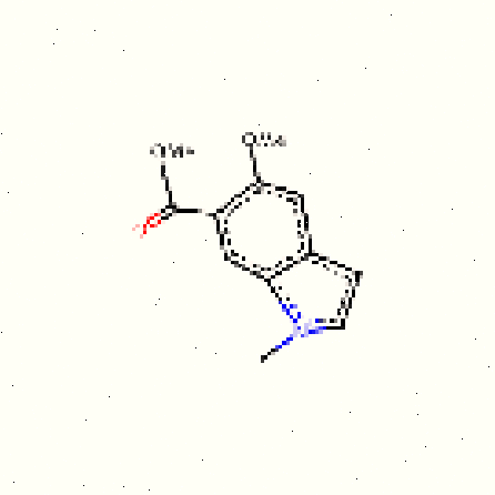 COC(=O)c1cc2c(ccn2C)cc1OC